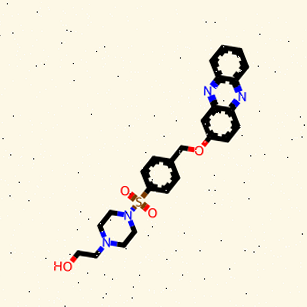 O=S(=O)(c1ccc(COc2ccc3nc4ccccc4nc3c2)cc1)N1CCN(CCO)CC1